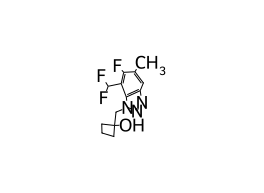 Cc1cc2nnn(CC3(O)CCC3)c2c(C(F)F)c1F